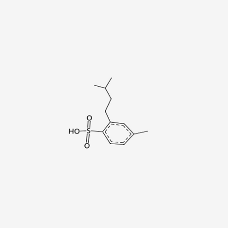 Cc1ccc(S(=O)(=O)O)c(CCC(C)C)c1